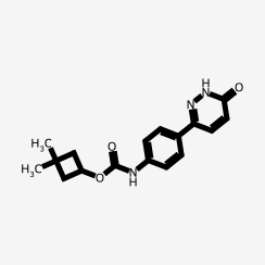 CC1(C)CC(OC(=O)Nc2ccc(-c3ccc(=O)[nH]n3)cc2)C1